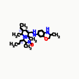 C=C/C=C(/NC(=C)C(/C=C(\C=C)CNc1ccc2c(c1)OCC(=C)N2)=C/C)C(=C)N=O